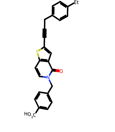 CCc1ccc(CC#Cc2cc3c(=O)n(Cc4ccc(C(=O)O)cc4)ccc3s2)cc1